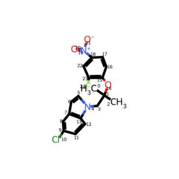 CC(C)(Cn1ccc2cc(Cl)ccc21)Oc1ccc([N+](=O)[O-])cc1F